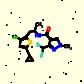 CC(Cc1sc(C2CC2)cc1Cl)NC(=O)c1cn(C)nc1C(F)F